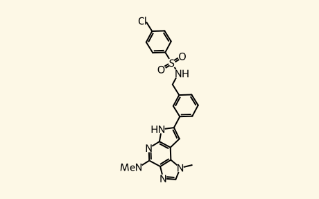 CNc1nc2[nH]c(-c3cccc(CNS(=O)(=O)c4ccc(Cl)cc4)c3)cc2c2c1ncn2C